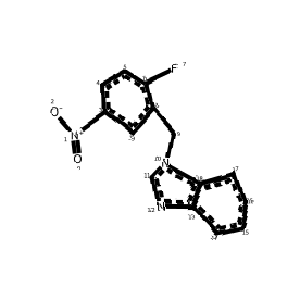 O=[N+]([O-])c1ccc(F)c(Cn2cnc3ccccc32)c1